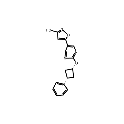 Oc1cc(-c2cnc(O[C@H]3C[C@@H](c4ccccc4)C3)nc2)on1